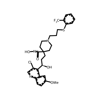 COc1ccc2ncc(Cl)c([C@H](O)CCC3(C(=O)NO)CCN(CCCSc4ccccc4C(F)(F)F)CC3)c2c1